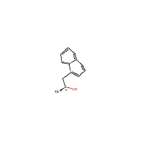 N#C[C@H](O)Cc1cccc2ccccc12